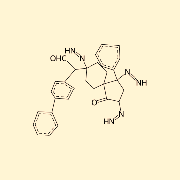 N=NC1CC(N=N)(c2ccccc2)C2(CCC(N=N)(C(C=O)c3ccc(-c4ccccc4)cc3)CC2)C1=O